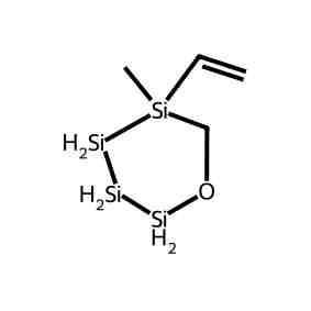 C=C[Si]1(C)CO[SiH2][SiH2][SiH2]1